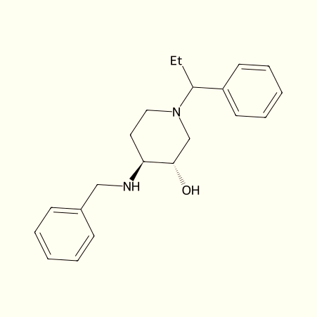 CCC(c1ccccc1)N1CC[C@H](NCc2ccccc2)[C@@H](O)C1